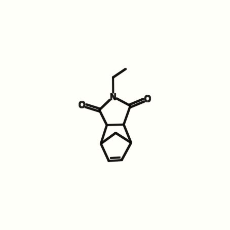 CCN1C(=O)C2C3C=CC(C3)C2C1=O